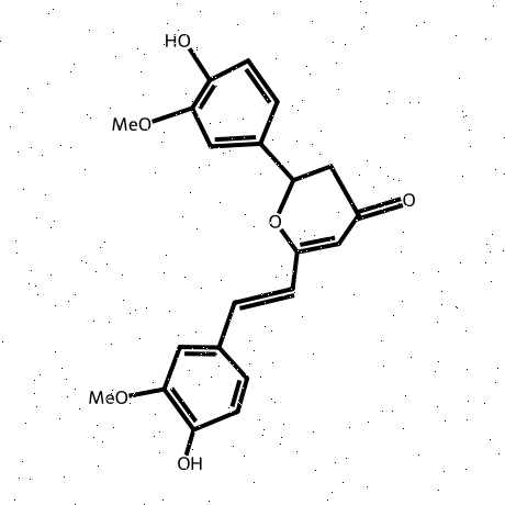 COc1cc(/C=C/C2=CC(=O)CC(c3ccc(O)c(OC)c3)O2)ccc1O